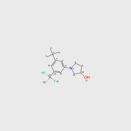 CC(C)(C)c1cc(N2CCC(O)C2)cc(C(F)(F)F)c1